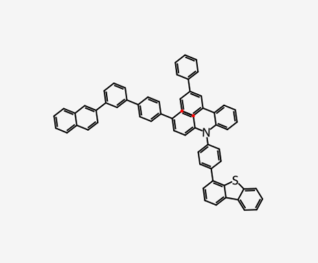 c1ccc(-c2cccc(-c3ccccc3N(c3ccc(-c4ccc(-c5cccc(-c6ccc7ccccc7c6)c5)cc4)cc3)c3ccc(-c4cccc5c4sc4ccccc45)cc3)c2)cc1